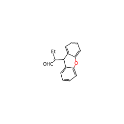 CC[C](C=O)C1c2ccccc2Oc2ccccc21